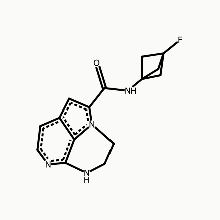 O=C(NC12CC(F)(C1)C2)c1cc2ccnc3c2n1CCN3